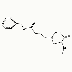 CNC1CN(CCCC(=O)OCc2ccccc2)CCC1=O